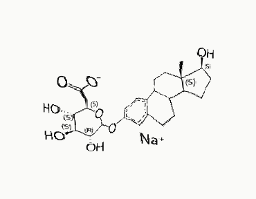 C[C@]12CCC3c4ccc(OC5O[C@H](C(=O)[O-])[C@@H](O)[C@H](O)[C@H]5O)cc4CCC3C1CC[C@@H]2O.[Na+]